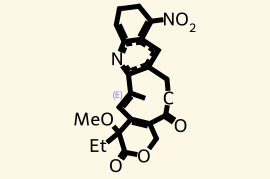 CCC1(OC)C(=O)OCC2=C1/C=C(\C)c1nc3c(cc1CCC2=O)=C([N+](=O)[O-])CCC=3